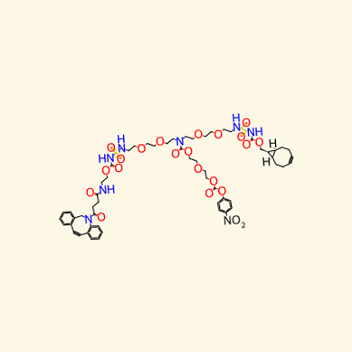 O=C(CCC(=O)N1Cc2ccccc2C#Cc2ccccc21)NCCOC(=O)NS(=O)(=O)NCCOCCOCCN(CCOCCOCCNS(=O)(=O)NC(=O)OC[C@@H]1[C@@H]2CCC#CCC[C@@H]21)C(=O)OCCOCCOC(=O)Oc1ccc([N+](=O)[O-])cc1